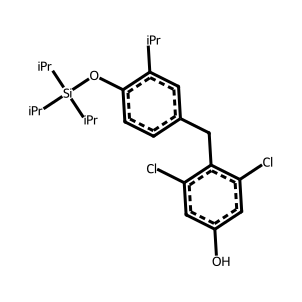 CC(C)c1cc(Cc2c(Cl)cc(O)cc2Cl)ccc1O[Si](C(C)C)(C(C)C)C(C)C